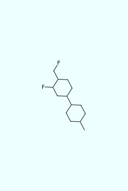 CC1CCC(C2CCC(CF)C(F)C2)CC1